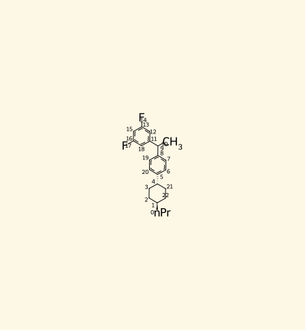 CCC[C@H]1CC[C@H](c2ccc(C(C)c3cc(F)cc(F)c3)cc2)CC1